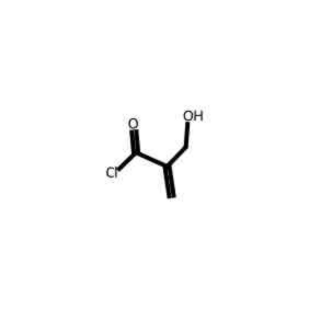 C=C(CO)C(=O)Cl